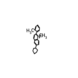 Cc1ccccc1-c1ccc2cc(C3CCCCC3)ccc2[n+]1C